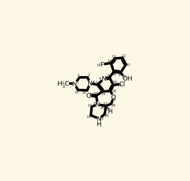 CN1CCN(c2nc(-c3c(O)cccc3F)c(Cl)c3c2C(=O)N2CCNC[C@@H]2CO3)CC1